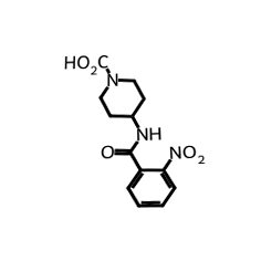 O=C(NC1CCN(C(=O)O)CC1)c1ccccc1[N+](=O)[O-]